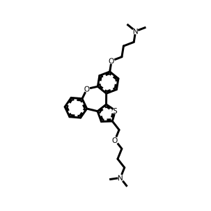 CN(C)CCCOCc1cc2c(s1)-c1ccc(OCCCN(C)C)cc1Oc1ccccc1-2